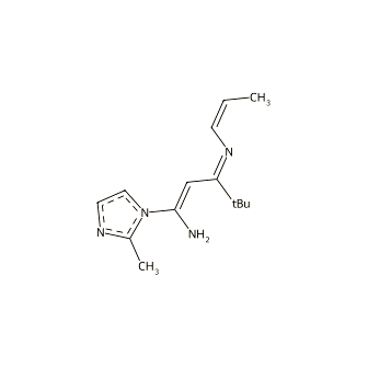 C\C=C/N=C(\C=C(/N)n1ccnc1C)C(C)(C)C